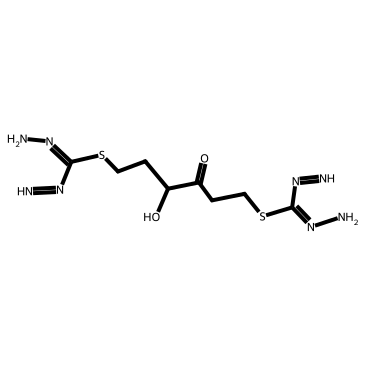 N=NC(=NN)SCCC(=O)C(O)CCSC(N=N)=NN